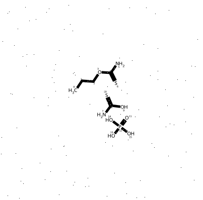 CCCOC(N)=S.NC(O)=S.O=P(O)(O)O